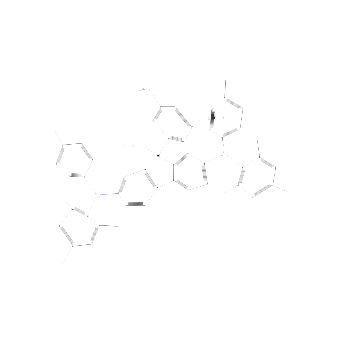 CCCCCCCCC1(c2cc(CCCCCC)cc(CCCCCC)c2)c2cc(N(c3ccc(C)cc3)c3c(C)cc(C)cc3C)ccc2-c2ccc(N(c3ccc(C)cc3)c3c(C)cc(C)cc3C)cc21